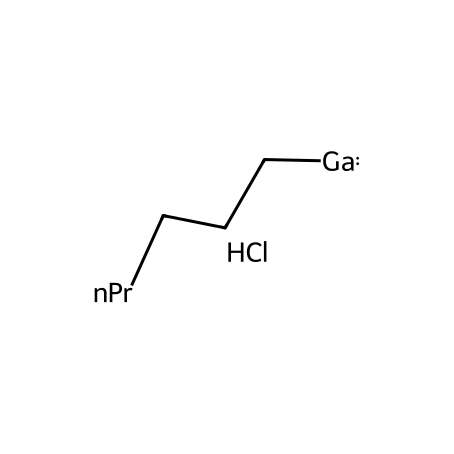 CCCCC[CH2][Ga].Cl